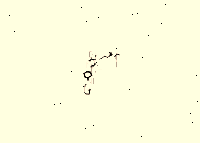 CCNC(=O)CCCNc1nc(Nc2cccc(NC(=O)N3CCCC3)c2)ncc1Br